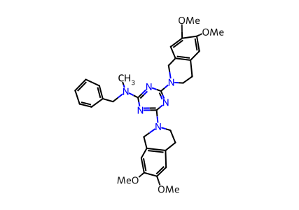 COc1cc2c(cc1OC)CN(c1nc(N(C)Cc3ccccc3)nc(N3CCc4cc(OC)c(OC)cc4C3)n1)CC2